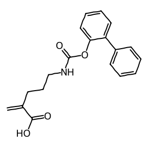 C=C(CCCNC(=O)Oc1ccccc1-c1ccccc1)C(=O)O